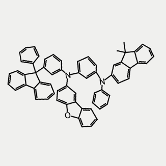 CC1(C)c2ccccc2-c2ccc(N(c3ccccc3)c3cccc(N(c4cccc(C5(c6ccccc6)c6ccccc6-c6ccccc65)c4)c4ccc5oc6ccccc6c5c4)c3)cc21